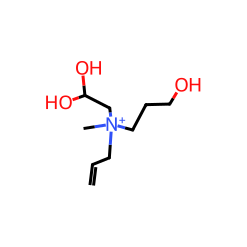 C=CC[N+](C)(CCCO)CC(O)O